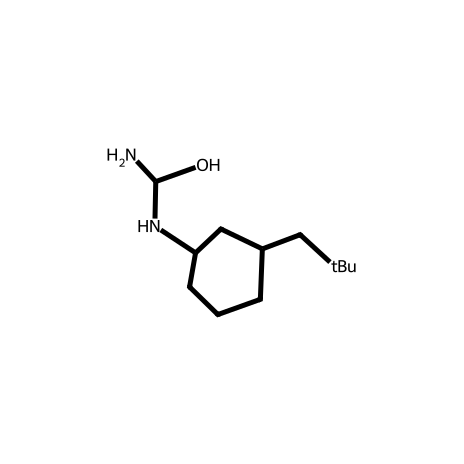 CC(C)(C)CC1CCCC(NC(N)O)C1